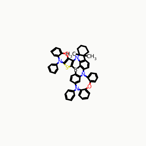 CC12CCCCC1(C)N1c3c(sc4c3Oc3ccccc3N4c3ccccc3)B3c4ccc5cc4N(c4ccccc4Oc4ccccc4N5c4ccccc4)c4ccc2c1c43